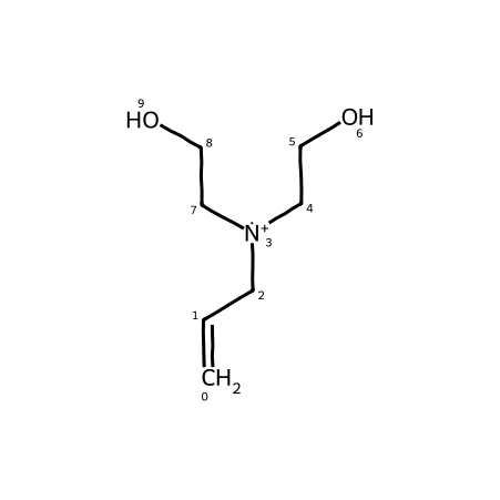 C=CC[N+](CCO)CCO